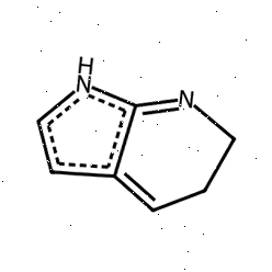 C1=c2cc[nH]c2=NCC1